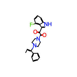 CC=C(c1ccccc1)N1CCN(C(=O)C(=O)c2c[nH]c3cccc(F)c23)CC1